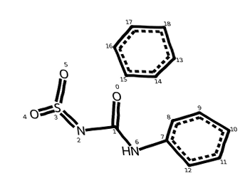 O=C(N=S(=O)=O)Nc1ccccc1.c1ccccc1